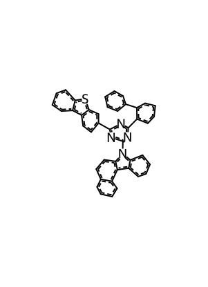 c1ccc(-c2ccccc2-c2nc(-c3ccc4c(c3)sc3ccccc34)nc(-n3c4ccccc4c4c5ccccc5ccc43)n2)cc1